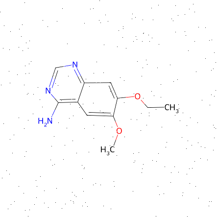 CCOc1cc2ncnc(N)c2cc1OC